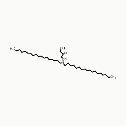 CCCCCCCCCCCCCCCCCCN(CCCCCCCCCCCCCCCCCC)NCC(O)CO